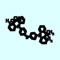 CC1(C)c2ccccc2N(c2ccc(Sc3ccc(N4c5ccccc5C(C)(C)c5ccccc54)cc3)cc2)c2ccccc21